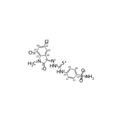 CN1C(=O)C(=NNC(=S)Nc2ccc(S(N)(=O)=O)cc2)c2cc(Cl)cc(Cl)c21